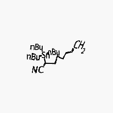 C=CCCCC[CH](C#N)[Sn]([CH2]CCC)([CH2]CCC)[CH2]CCC